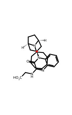 O=C(O)CNc1nc2ccccc2n([C@H]2C[C@H]3CC[C@@H](C2)N3C2CCCCCCC2)c1=O